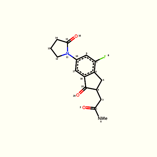 CNC(=O)CC1Cc2c(F)cc(N3CCCC3=O)cc2C1=O